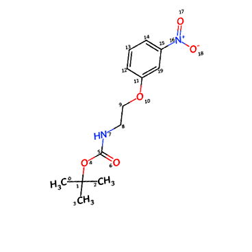 CC(C)(C)OC(=O)NCCOc1cccc([N+](=O)[O-])c1